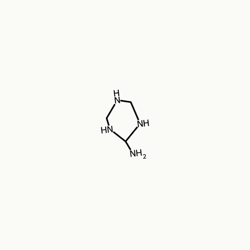 NC1NCNCN1